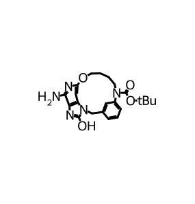 CC(C)(C)OC(=O)N1CCCCOc2cc3c(nc(O)n3Cc3cccc1c3)c(N)n2